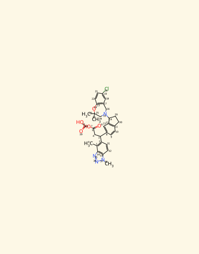 Cc1c(C(CC(=O)O)c2ccc3c(c2)C(N2Cc4cc(Cl)ccc4OC(C)(C)C2)CC3)ccc2c1nnn2C.O=CO